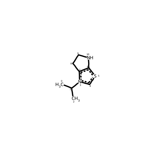 CC(C)[n+]1csc2c1CCN2